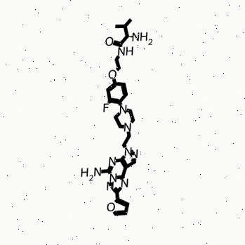 CC(C)[C@H](N)C(=O)NCCOc1ccc(N2CCN(CCn3ncc4c3nc(N)n3nc(-c5ccco5)nc43)CC2)c(F)c1